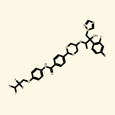 CC(SC1COC(c2ccc(C(=O)Nc3ccc(OCC(F)(F)C(F)F)cc3)cc2)OC1)C(O)(Cn1cncn1)c1ccc(F)cc1F